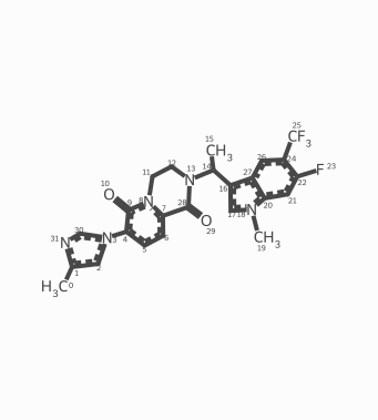 Cc1cn(-c2ccc3n(c2=O)CCN(C(C)c2cn(C)c4cc(F)c(C(F)(F)F)cc24)C3=O)cn1